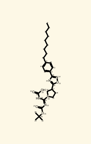 CCCCCCCCCc1ccc(-c2noc(C3CCN(C(=NC(=O)OC(C)(C)C)NC(=O)O)C3)n2)cc1